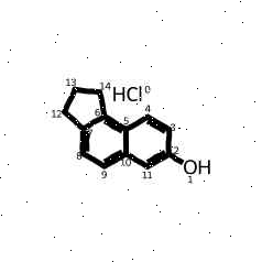 Cl.Oc1ccc2c3c(ccc2c1)CCC3